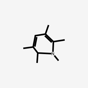 CC1=CC(C)=C(C)N(C)C1C